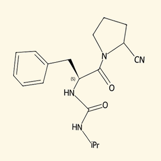 CC(C)NC(=O)N[C@@H](Cc1ccccc1)C(=O)N1CCCC1C#N